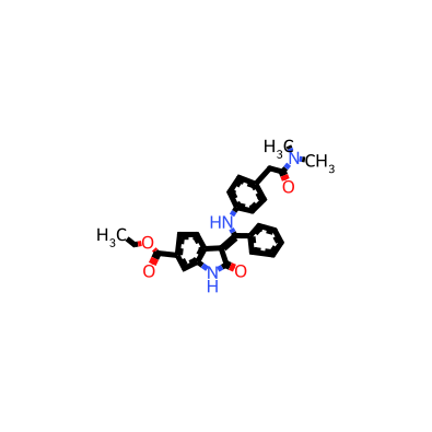 CCOC(=O)c1ccc2c(c1)NC(=O)C2=C(Nc1ccc(CC(=O)N(C)C)cc1)c1ccccc1